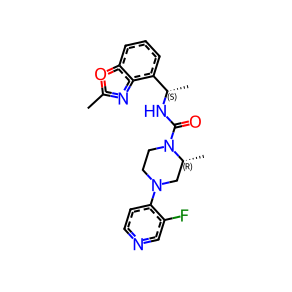 Cc1nc2c([C@H](C)NC(=O)N3CCN(c4ccncc4F)C[C@H]3C)cccc2o1